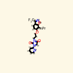 CCCc1c(OCCCN2C(=O)CN(c3ccccn3)C2=O)ccc2c(C(F)(F)F)noc12